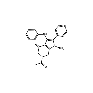 CC(=O)N1CC(=O)c2c(Nc3ccccc3)c(-c3ccncc3)n(N)c2C1